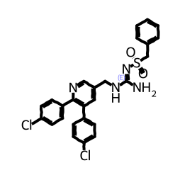 N/C(=N\S(=O)(=O)Cc1ccccc1)NCc1cnc(-c2ccc(Cl)cc2)c(-c2ccc(Cl)cc2)c1